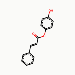 O=C(C=Cc1ccccc1)Oc1ccc(O)cc1